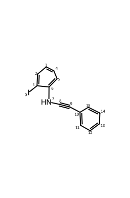 Ic1ccccc1NC#Cc1ccccc1